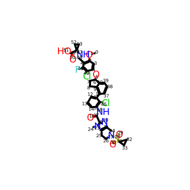 COc1cc(OC2CCc3c(-c4cccc(NC(=O)c5nc6c(n5C)CCN(S(=O)(=O)C5CC5)C6)c4Cl)cccc32)c(Cl)c(F)c1CNC1(C(=O)O)CC1